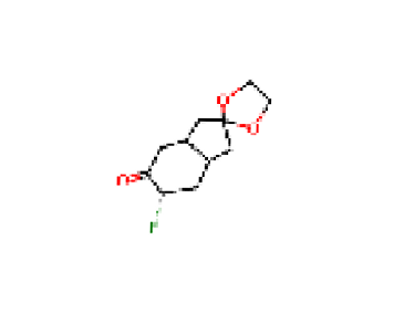 O=C1CC2CC3(CC2C[C@@H]1F)OCCO3